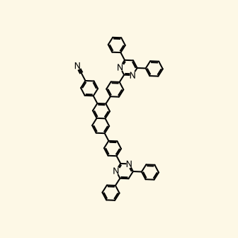 N#Cc1ccc(-c2cc3ccc(-c4ccc(-c5nc(-c6ccccc6)cc(-c6ccccc6)n5)cc4)cc3cc2-c2ccc(-c3nc(-c4ccccc4)cc(-c4ccccc4)n3)cc2)cc1